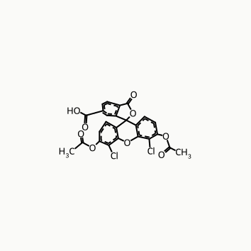 CC(=O)Oc1ccc2c(c1Cl)Oc1c(ccc(OC(C)=O)c1Cl)C21OC(=O)c2ccc(C(=O)O)cc21